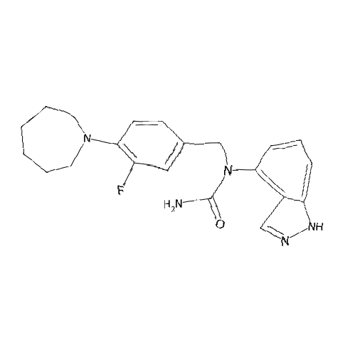 NC(=O)N(Cc1ccc(N2CCCCCC2)c(F)c1)c1cccc2[nH]ncc12